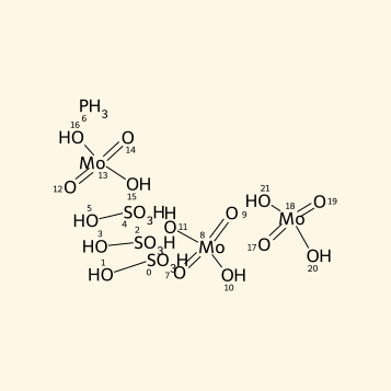 O=S(=O)(O)O.O=S(=O)(O)O.O=S(=O)(O)O.P.[O]=[Mo](=[O])([OH])[OH].[O]=[Mo](=[O])([OH])[OH].[O]=[Mo](=[O])([OH])[OH]